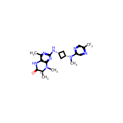 Cc1nc(N[C@H]2C[C@@H](N(C)c3cnc(C(F)(F)F)cn3)C2)nc2c1NC(=O)[C@H](C)N2C